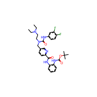 CCN(CC)CCN(Cc1ccc(C(=O)Nc2ccccc2NC(=O)OC(C)(C)C)nc1)C(=O)Nc1ccc(F)c(F)c1